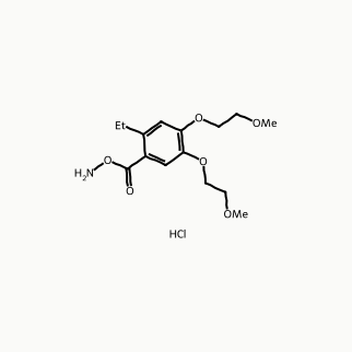 CCc1cc(OCCOC)c(OCCOC)cc1C(=O)ON.Cl